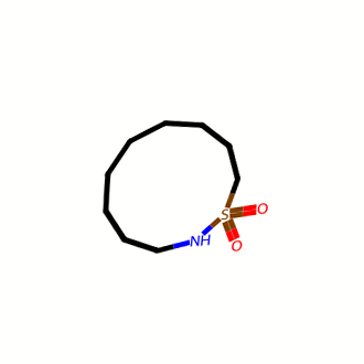 O=S1(=O)CCCCCCCCCN1